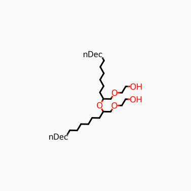 CCCCCCCCCCCCCCCCC(COCCO)OC(CCCCCCCCCCCCCCCC)COCCO